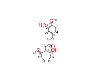 COc1ccc(CCC(=O)CC2C(O)CCCCC2OC)cc1O